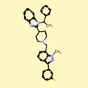 CC(c1ccccc1)n1c(C2CCN(Cc3cccc4c(-c5cccc(F)c5)nn(C)c34)CC2)nc2ccccc21